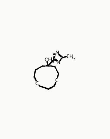 Cc1nsc(C2(C)CCCCCCCCCC2)n1